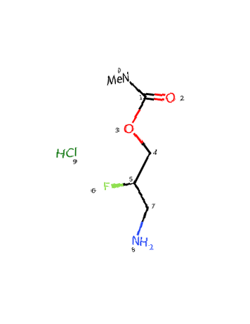 CNC(=O)OC[C@H](F)CN.Cl